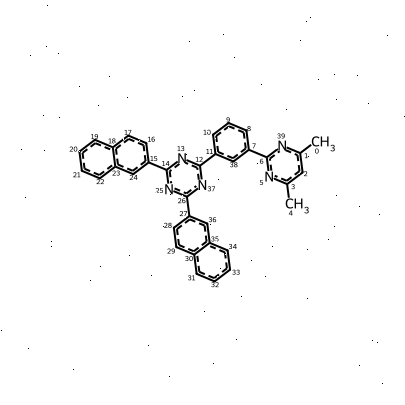 Cc1cc(C)nc(-c2cccc(-c3nc(-c4ccc5ccccc5c4)nc(-c4ccc5ccccc5c4)n3)c2)n1